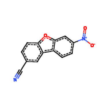 N#Cc1ccc2oc3cc([N+](=O)[O-])ccc3c2c1